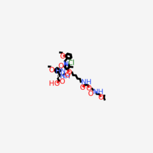 CCOc1cccc([C@H](CC(=O)O)NC(=O)Nc2c(OCCCCCCNC(=O)COCC(=O)NCCOC(C)C)c(C)cn(Cc3c(Cl)cccc3OCC)c2=O)c1